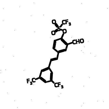 O=Cc1cc(C=Cc2cc(C(F)(F)F)cc(C(F)(F)F)c2)ccc1OS(=O)(=O)C(F)(F)F